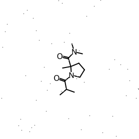 CC(C)C(=O)N1CCCC1(C)C(=O)N(C)C